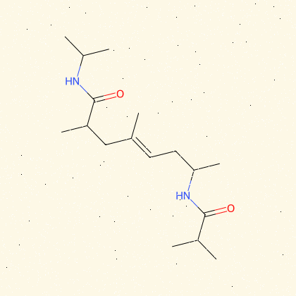 C/C(=C\CC(C)NC(=O)C(C)C)CC(C)C(=O)NC(C)C